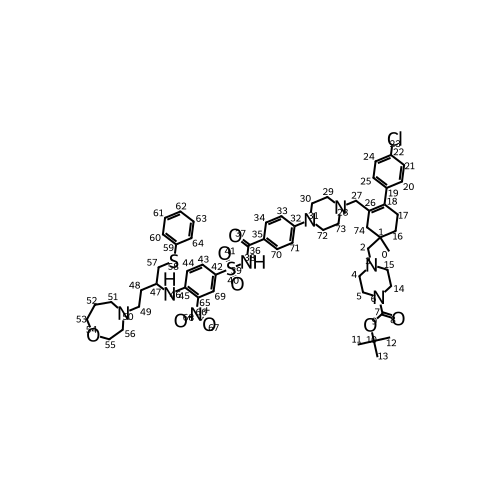 CC1(CN2CCN(C(=O)OC(C)(C)C)CC2)CCC(c2ccc(Cl)cc2)=C(CN2CCN(c3ccc(C(=O)NS(=O)(=O)c4ccc(NC(CCN5CCCOCC5)CSc5ccccc5)c([N+](=O)[O-])c4)cc3)CC2)C1